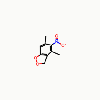 Cc1cc2c(c(C)c1[N+](=O)[O-])COO2